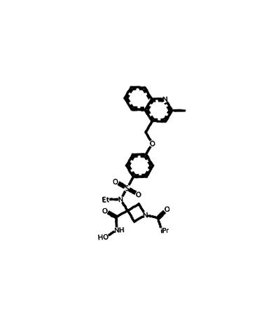 CCN(C1(C(=O)NO)CN(C(=O)C(C)C)C1)S(=O)(=O)c1ccc(OCc2cc(C)nc3ccccc23)cc1